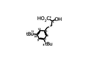 CC(O)C(=O)O.Cc1cc(C(C)(C)C)cc(C(C)(C)C)c1